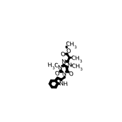 CCOC(=O)C(C)c1nc2c(c(=O)n(Cc3cc4ccccc4[nH]3)c(=O)n2C)n1C